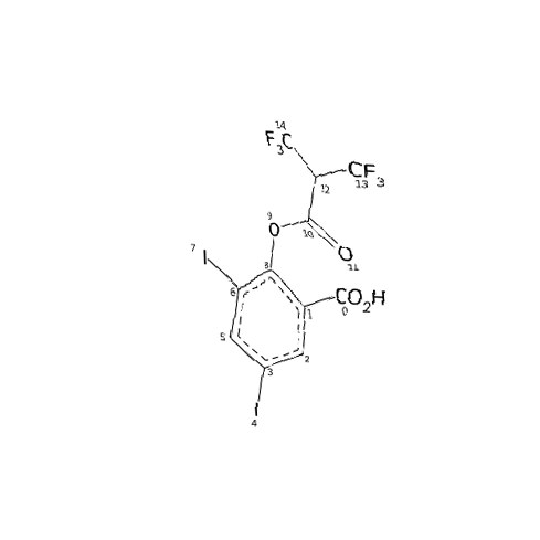 O=C(O)c1cc(I)cc(I)c1OC(=O)C(C(F)(F)F)C(F)(F)F